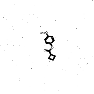 COc1ccc(OC(=O)C2CCC2)cc1